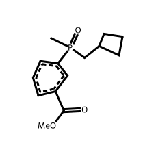 COC(=O)c1cccc(P(C)(=O)CC2CCC2)c1